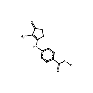 CC1=C(Nc2ccc(C(=O)OCl)cc2)CCC1=O